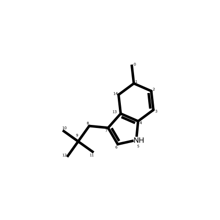 CC1C=Cc2[nH]cc(CC(C)(C)C)c2C1